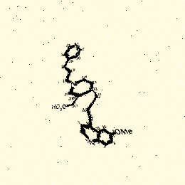 COc1ccc2nccc(CCC[C@@H]3CCN(CCCc4ccncc4)C[C@@H]3CC(=O)O)c2c1